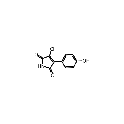 O=C1NC(=O)C(c2ccc(O)cc2)=C1Cl